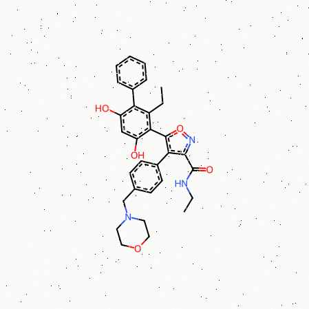 CCNC(=O)c1noc(-c2c(O)cc(O)c(-c3ccccc3)c2CC)c1-c1ccc(CN2CCOCC2)cc1